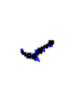 N#CCCCN1CCN(c2cc(N)nc(NCc3ccc(CNCCCNC4CCCCC4)cc3)n2)CC1